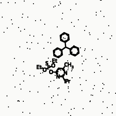 CCOP(=S)(OCC)Oc1cc(C)nc(C(C)C)n1.c1ccc(C(c2ccccc2)c2ccccc2)cc1